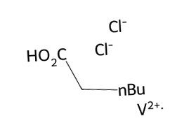 CCCCCC(=O)O.[Cl-].[Cl-].[V+2]